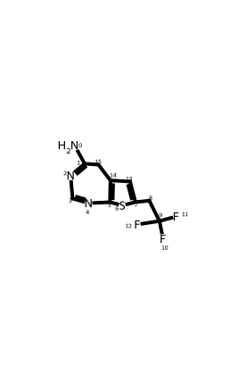 NC1=NC=Nc2sc(CC(F)(F)F)cc2C1